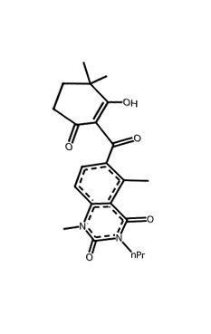 CCCn1c(=O)c2c(C)c(C(=O)C3=C(O)C(C)(C)CCC3=O)ccc2n(C)c1=O